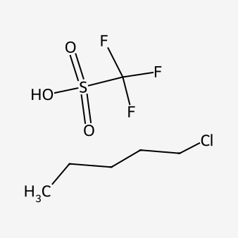 CCCCCCl.O=S(=O)(O)C(F)(F)F